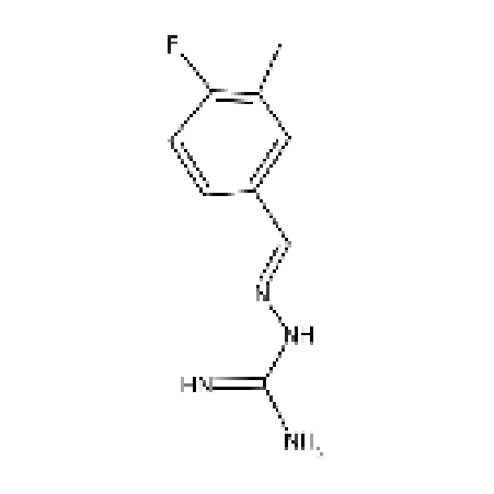 Cc1cc(/C=N/NC(=N)N)ccc1F